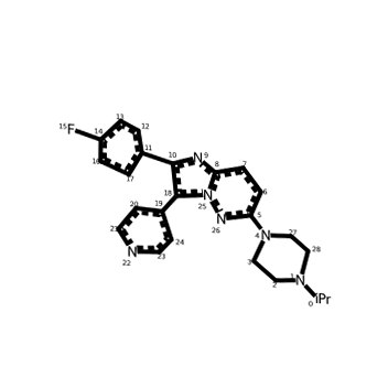 CC(C)N1CCN(c2ccc3nc(-c4ccc(F)cc4)c(-c4ccncc4)n3n2)CC1